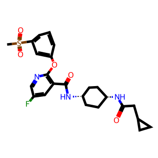 CS(=O)(=O)c1cccc(Oc2ncc(F)cc2C(=O)N[C@H]2CC[C@@H](NC(=O)CC3CC3)CC2)c1